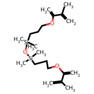 C=C(C)C(=C)OCCC[Si](C)(C)O[Si](C)(C)CCCOC(=C)C(=C)C